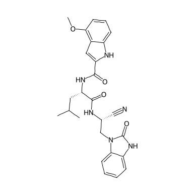 COc1cccc2[nH]c(C(=O)N[C@@H](CC(C)C)C(=O)N[C@H](C#N)Cn3c(=O)[nH]c4ccccc43)cc12